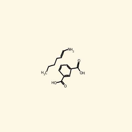 CCCCC=CN.O=C(O)c1cccc(C(=O)O)c1